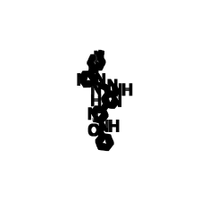 CN1CCN(c2cncc3[nH]c(-c4n[nH]c5ncc(-c6cncc(NC(=O)c7ccccc7)c6)cc45)nc23)CC1